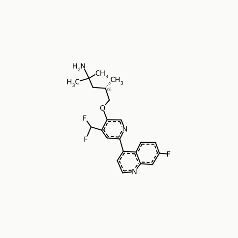 C[C@H](COc1cnc(-c2ccnc3cc(F)ccc23)cc1C(F)F)CC(C)(C)N